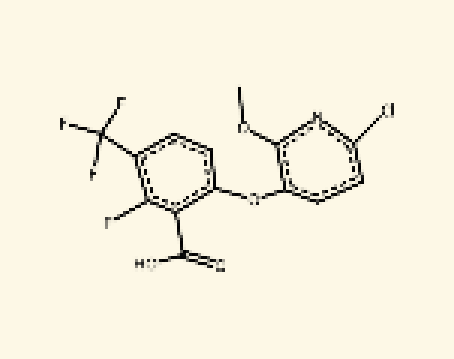 COc1nc(Cl)ccc1Oc1ccc(C(F)(F)F)c(F)c1C(=O)O